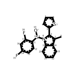 Cc1c(-c2cccs2)n([S+]([O-])c2ccc(F)cc2F)c2ccccc12